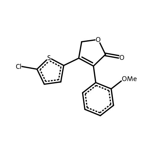 COc1ccccc1C1=C(c2ccc(Cl)s2)COC1=O